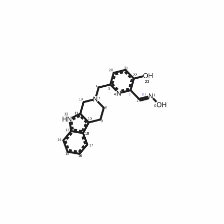 O/N=C/c1nc(CN2CCc3c([nH]c4ccccc34)C2)ccc1O